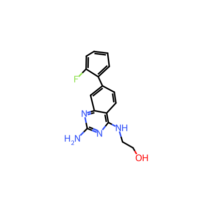 Nc1nc(NCCO)c2ccc(-c3ccccc3F)cc2n1